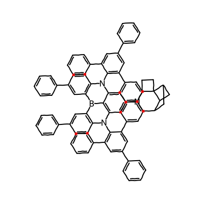 c1ccc(-c2ccc3c(c2)B2c4cc(-c5ccccc5)ccc4N(c4c(-c5ccccc5)cc(-c5ccccc5)cc4-c4ccccc4)c4cc(N5CC6CC7CC6C76CCC56)cc(c42)N3c2c(-c3ccccc3)cc(-c3ccccc3)cc2-c2ccccc2)cc1